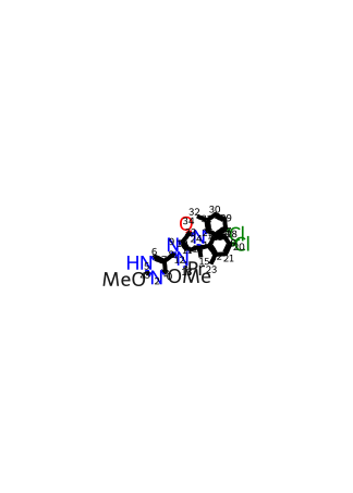 COC1=NC(OC)NC=C1c1nc2c(n1C(C)C)C(C)(c1ccc(Cl)cc1C)N(c1cc(Cl)ccc1C)C2=O